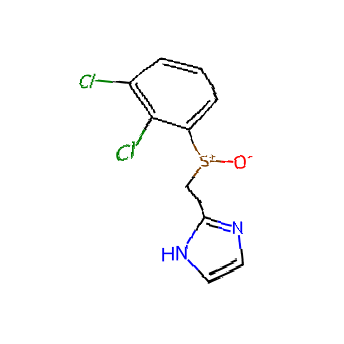 [O-][S+](Cc1ncc[nH]1)c1cccc(Cl)c1Cl